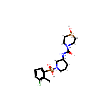 Cc1c(Cl)cccc1S(=O)(=O)N1CCCC(NC(=O)N2CC[S+]([O-])CC2)C1